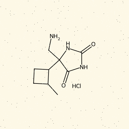 CC1CCC1C1(CN)NC(=O)NC1=O.Cl